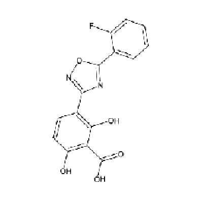 O=C(O)c1c(O)ccc(-c2noc(-c3ccccc3F)n2)c1O